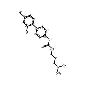 CN(C)CCCNC(=O)Oc1ccc(-c2ccc(Cl)cc2Cl)cn1